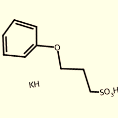 O=S(=O)(O)CCCOc1ccccc1.[KH]